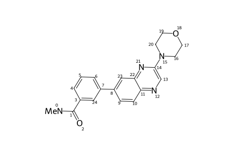 CNC(=O)c1cccc(-c2ccc3ncc(N4CCOCC4)nc3c2)c1